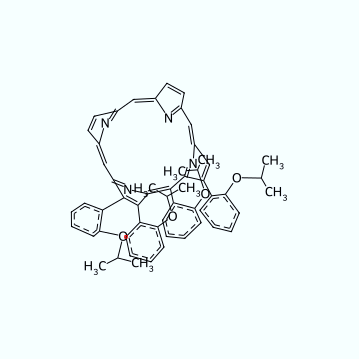 CC(C)Oc1ccccc1C1=CC2=CC3=NC(=CC4=NC(=CC5=NC(=C(c6ccccc6OC(C)C)C1=N2)C(c1ccccc1OC(C)C)=C5c1ccccc1OC(C)C)C=C4)C=C3